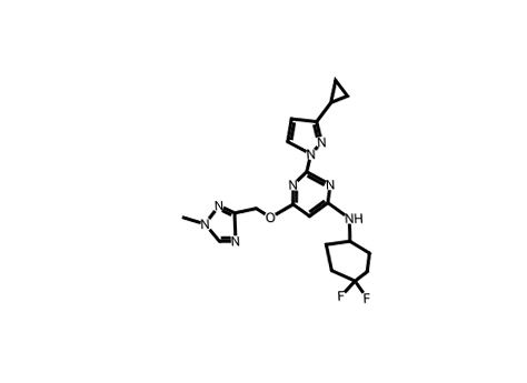 Cn1cnc(COc2cc(NC3CCC(F)(F)CC3)nc(-n3ccc(C4CC4)n3)n2)n1